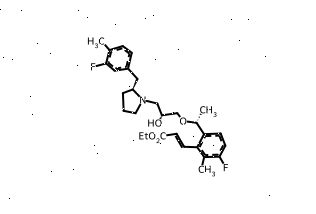 CCOC(=O)/C=C/c1c([C@@H](C)OC[C@H](O)CN2CCC[C@H]2Cc2ccc(C)c(F)c2)ccc(F)c1C